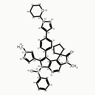 CN1C(=O)C2(CCCC2)c2c1cnc1c2c(-c2ccc(-c3cnn(C4CCCCO4)c3)cc2)c(-c2cnn(C)c2)n1[S+]([O-])c1ccccc1